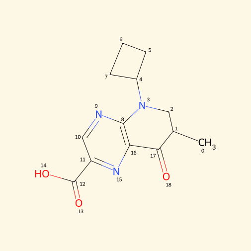 CC1CN(C2CCC2)c2ncc(C(=O)O)nc2C1=O